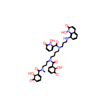 CN(CCCN(CCCCN(CCCNc1cccc2ccc(=O)n(O)c12)C(=O)c1cccc(=O)n1O)C(=O)C1=CC=CC(=O)C1O)C(=O)C1=CC=CC(=O)C1O